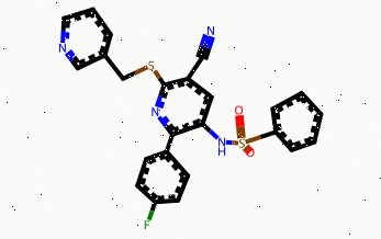 N#Cc1cc(NS(=O)(=O)c2ccccc2)c(-c2ccc(F)cc2)nc1SCc1cccnc1